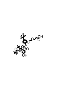 Cc1ncsc1-c1ccc(CNC(=O)[C@@H]2C[C@@H](O)CN2C(=O)[C@@H](NC(=O)C2(F)CC2)C(C)(C)C)c(OCCOCCC(=O)O)c1